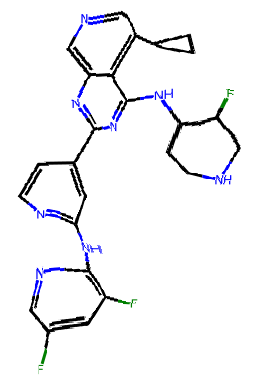 Fc1cnc(Nc2cc(-c3nc(NC4CCNCC4F)c4c(C5CC5)cncc4n3)ccn2)c(F)c1